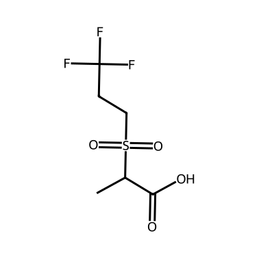 CC(C(=O)O)S(=O)(=O)CCC(F)(F)F